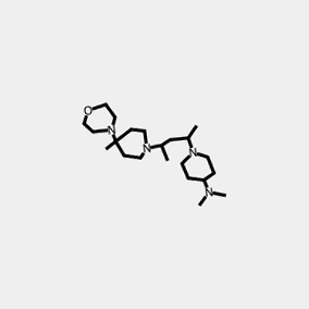 CC(CC(C)N1CCC(C)(N2CCOCC2)CC1)N1CCC(N(C)C)CC1